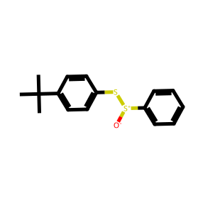 CC(C)(C)c1ccc(S[S+]([O-])c2ccccc2)cc1